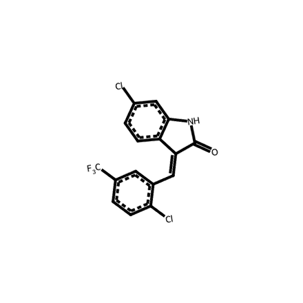 O=C1Nc2cc(Cl)ccc2C1=Cc1cc(C(F)(F)F)ccc1Cl